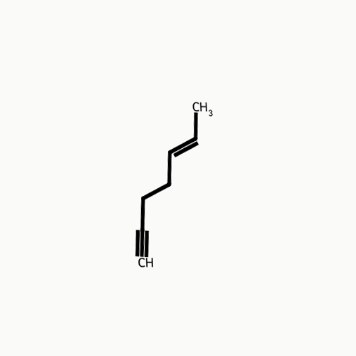 C#CCC/C=C/C